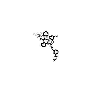 CS(=O)(=O)N[C@H]1CCCC[C@@H]1N1C(=O)c2ccccc2[C@@H](C(=O)NOCc2cccc(C(F)(F)C=O)c2)[C@@H]1c1ccc(Cl)cc1Cl